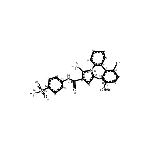 COc1ccc(F)c(-c2ccccc2-n2c(C)cc(C(=O)Nc3ccc(S(C)(=O)=O)cc3)c2C)c1